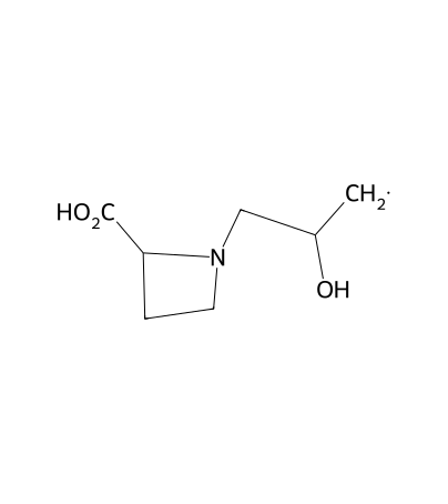 [CH2]C(O)CN1CCC1C(=O)O